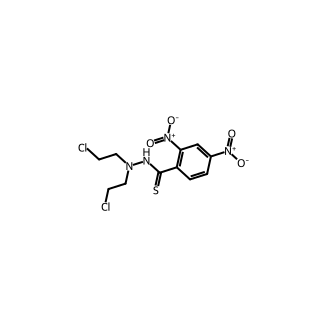 O=[N+]([O-])c1ccc(C(=S)NN(CCCl)CCCl)c([N+](=O)[O-])c1